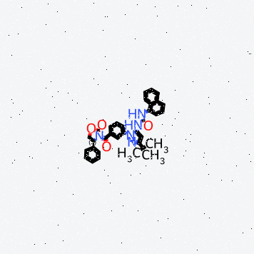 CC(C)(C)c1cc(NC(=O)Nc2cccc3ccccc23)n(-c2cccc(C(=O)N3C(=O)OC[C@@H]3c3ccccc3)c2)n1